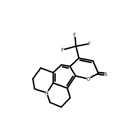 FC(F)(F)c1cc(=S)oc2c3c4c(cc12)CCCN4CCC3